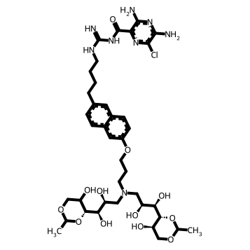 CC1OC[C@@H](O)[C@H]([C@H](O)[C@@H](O)CN(CCCOc2ccc3cc(CCCCNC(=N)NC(=O)c4nc(Cl)c(N)nc4N)ccc3c2)C[C@H](O)[C@@H](O)[C@@H]2OC(C)OCC2O)O1